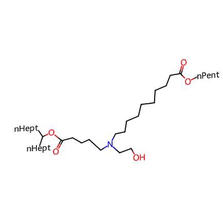 CCCCCCCC(CCCCCCC)OC(=O)CCCCN(CCO)CCCCCCCCCC(=O)OCCCCC